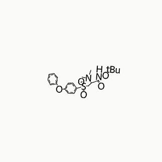 CN(C)C(CS(=O)(=O)c1ccc(Oc2ccccc2)cc1)C(=O)NOC(C)(C)C